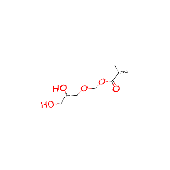 C=C(C)C(=O)OCOCC(O)CO